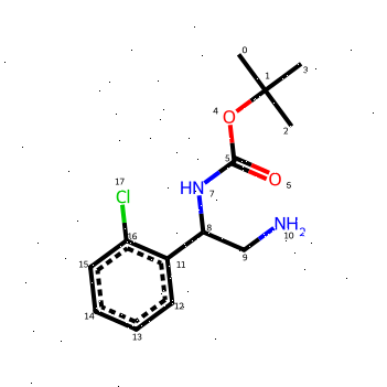 CC(C)(C)OC(=O)NC(CN)c1ccccc1Cl